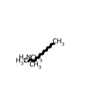 CCCCCCCCCCCCC(C)C(C)(N)CC